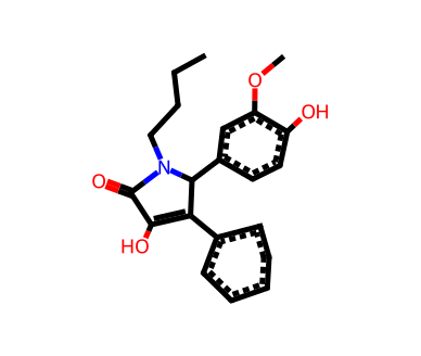 CCCCN1C(=O)C(O)=C(c2ccccc2)C1c1ccc(O)c(OC)c1